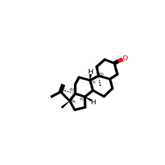 C=C(C)[C@@]1(C)CC[C@H]2C3CCC4CC(=O)CC[C@]4(C)[C@H]3CC[C@@]21C